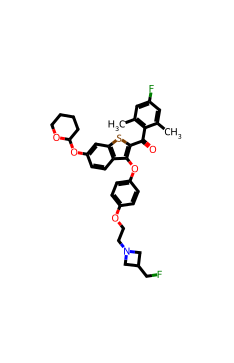 Cc1cc(F)cc(C)c1C(=O)c1sc2cc(OC3CCCCO3)ccc2c1Oc1ccc(OCCN2CC(CF)C2)cc1